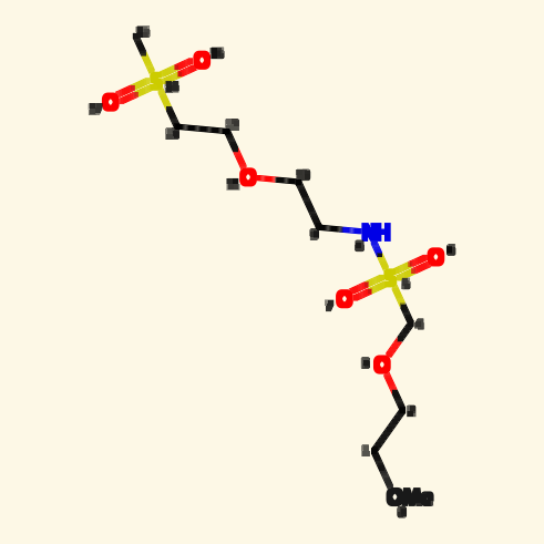 COCCOCS(=O)(=O)NCCOCCS(C)(=O)=O